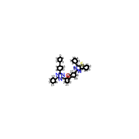 c1ccc(-c2ccc(-c3nc(-c4ccccc4)nc(-c4cccc5c4oc4cc(-c6nc(-c7ccccc7)c7sc8ccccc8c7n6)ccc45)n3)cc2)cc1